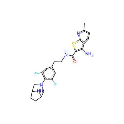 Cc1ccc2c(N)c(C(=O)NCCc3cc(F)c(N4CC5CCC(C4)N5)c(F)c3)sc2n1